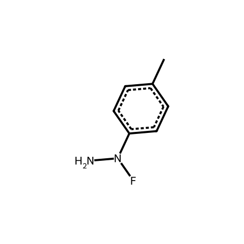 Cc1ccc(N(N)F)cc1